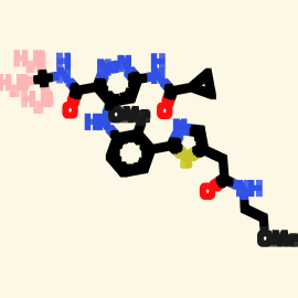 BC(B)(B)NC(=O)c1nnc(NC(=O)C2CC2)cc1Nc1cccc(-c2ncc(CC(=O)NCCOC)s2)c1OC